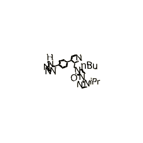 CCCCc1cn(-c2nccn2C(C)C)c(=O)n1Cc1cnccc1-c1ccc(-c2nnn[nH]2)cc1